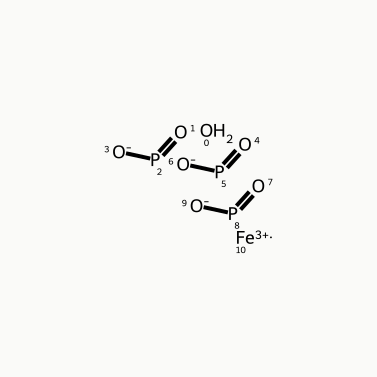 O.O=P[O-].O=P[O-].O=P[O-].[Fe+3]